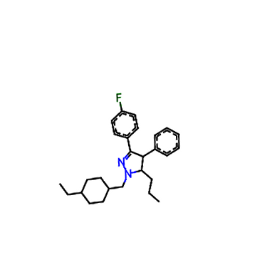 CCCC1C(c2ccccc2)C(c2ccc(F)cc2)=NN1CC1CCC(CC)CC1